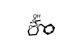 C[Si](C)(O)[Si]1(Cc2ccccc2)CCCCO1